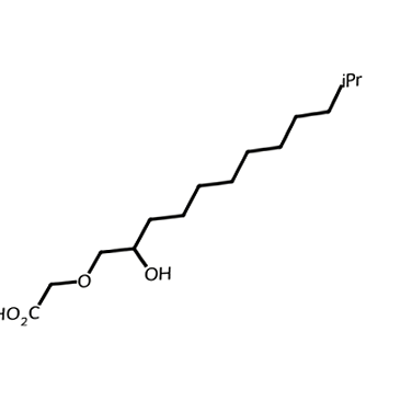 CC(C)CCCCCCCCC(O)COCC(=O)O